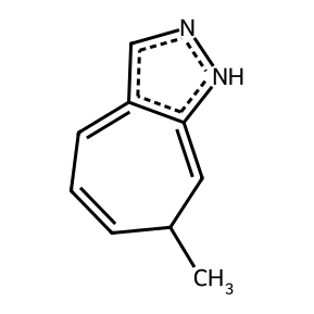 CC1C=CC=c2cn[nH]c2=C1